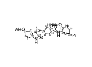 COc1ccc2c(c1)[C@]1(C[C@H]1c1ccc3c(Nc4nc(C(C)C)cnc4OC)n[nH]c3c1)C(=O)N2